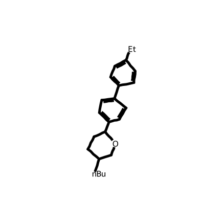 CCCCC1CCC(c2ccc(-c3ccc(CC)cc3)cc2)OC1